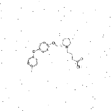 Cc1ccc(Oc2ccc(OC[C@@H]3CCCN3CCCC(=O)O)cc2)cc1